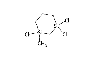 C[Si]1(Cl)CCC[Si](Cl)(Cl)C1